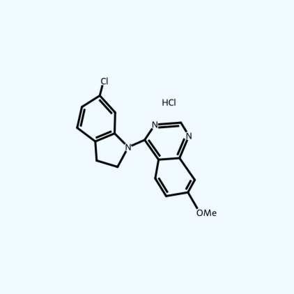 COc1ccc2c(N3CCc4ccc(Cl)cc43)ncnc2c1.Cl